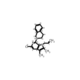 C=CCn1c(C)c(C)c2cc(Cl)nc(N3CCc4ccccc4C3)c21